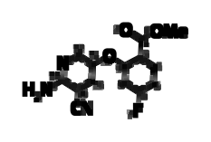 COC(=O)c1ccc(F)cc1Oc1cnc(N)c(C#N)c1